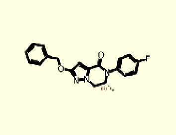 C[C@@H]1Cn2nc(OCc3ccccc3)cc2C(=O)N1c1ccc(F)cc1